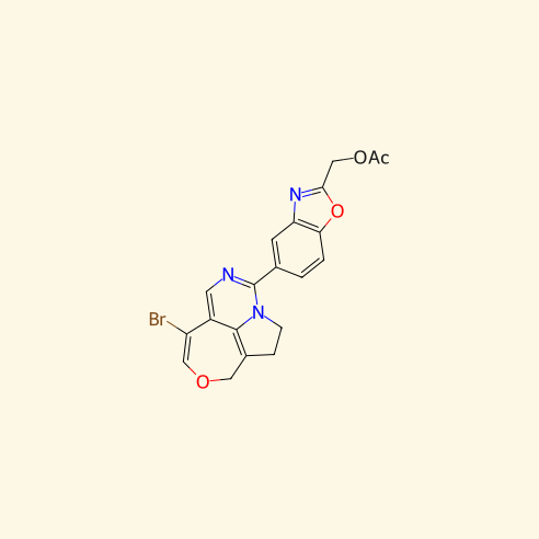 CC(=O)OCc1nc2cc(C3=NC=C4C(Br)=COCC5=C4N3CC5)ccc2o1